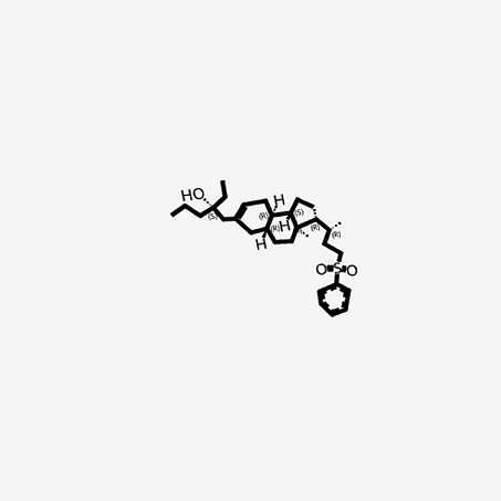 CCC[C@@](O)(CC)CC1=CC[C@@H]2[C@H](CC[C@]3(C)[C@@H]([C@H](C)CCS(=O)(=O)c4ccccc4)CC[C@@H]23)C1